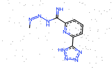 C/N=N\NC(=N)c1cccc(-c2nnn[nH]2)n1